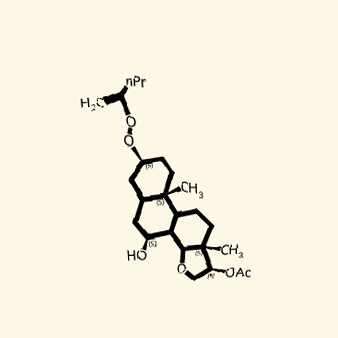 C=C(CCC)OO[C@H]1CC[C@@]2(C)C(C1)C[C@H](O)C1C2CC[C@@]2(C)C1OC[C@@H]2OC(C)=O